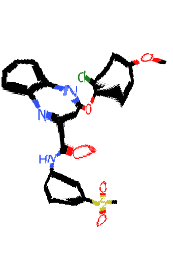 COc1ccc(Oc2nc3ccccc3nc2C(=O)Nc2cccc(S(C)(=O)=O)c2)c(Cl)c1